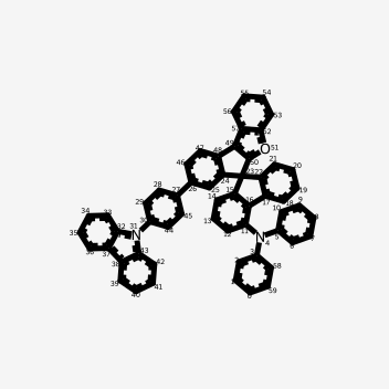 c1ccc(N(c2ccccc2)c2cccc3c2-c2ccccc2C32c3cc(-c4ccc(-n5c6ccccc6c6ccccc65)cc4)ccc3-c3c2oc2ccccc32)cc1